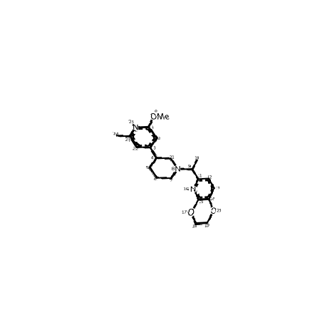 COc1cc(C2CCCN(C(C)c3ccc4c(n3)OCCO4)C2)cc(C)n1